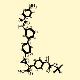 CC(C)(C)OC(=O)NC1CCC(N(C(=O)O)[C@@H]2C[C@H]2c2ccc(-c3cccc(NS(=O)(=O)c4ccc(N)nc4)c3)cc2)CC1